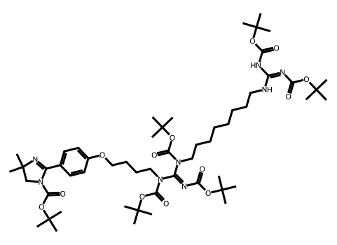 CC1(C)CN(C(=O)OC(C)(C)C)C(c2ccc(OCCCCN(C(=O)OC(C)(C)C)/C(=N/C(=O)OC(C)(C)C)N(CCCCCCCCN/C(=N\C(=O)OC(C)(C)C)NC(=O)OC(C)(C)C)C(=O)OC(C)(C)C)cc2)=N1